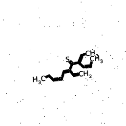 C=C/C(=C\C=C/CC)C(=S)C(/C=C\C)=C/C